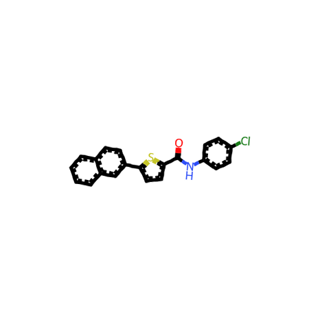 O=C(Nc1ccc(Cl)cc1)c1ccc(-c2ccc3ccccc3c2)s1